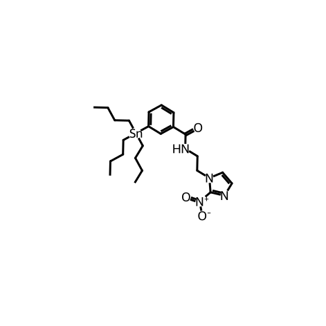 CCC[CH2][Sn]([CH2]CCC)([CH2]CCC)[c]1cccc(C(=O)NCCn2ccnc2[N+](=O)[O-])c1